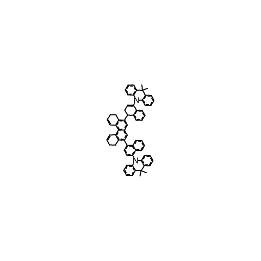 CC1(C)c2ccccc2N(C2=CCC(c3cc4cc(-c5ccc(N6c7ccccc7C(C)(C)c7ccccc76)c6ccccc56)c5c(c4c4c3CCC=C4)C=CCC5)c3ccccc32)c2ccccc21